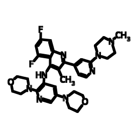 Cc1c(-c2ccnc(N3CCN(C)CC3)c2)nc2cc(F)cc(F)c2c1Nc1cc(N2CCOCC2)cnc1N1CCOCC1